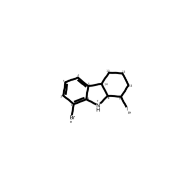 Brc1cccc2c1NC1C(I)CCCC21